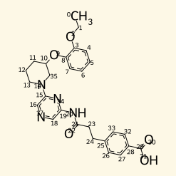 CCOc1ccccc1OC1CCCN(c2cncc(NC(=O)CCc3ccc(C(=O)O)cc3)n2)C1